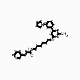 Nc1nc(NCCCCCCNC(=O)/C=C/c2cccnc2)cc(-c2cccc(-n3cccc3)c2)n1